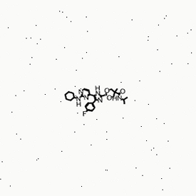 CC(C)NC(=O)C1(C)COC(c2nc(-c3ccc(F)cc3)c(-c3ccnc(NC4CCCCC4)n3)[nH]2)OC1